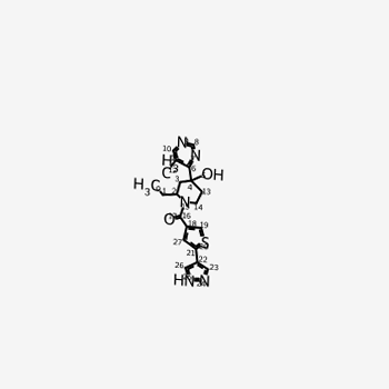 CCC1CC(O)(c2ncncc2C)CCN1C(=O)c1csc(-c2cn[nH]c2)c1